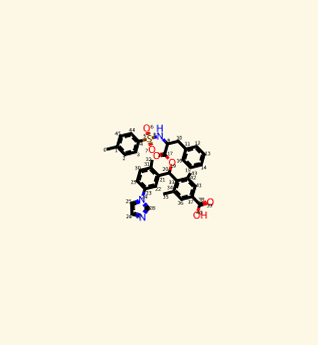 Cc1ccc(S(=O)(=O)NC(Cc2ccccc2)C(=O)OC(c2cc(-n3ccnc3)ccc2C)c2c(C)cc(C(=O)O)cc2C)cc1